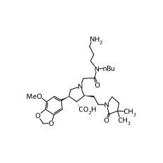 CCCCN(CCCN)C(=O)CN1C[C@H](c2cc(OC)c3c(c2)OCO3)[C@@H](C(=O)O)[C@@H]1CCN1CCC(C)(C)C1=O